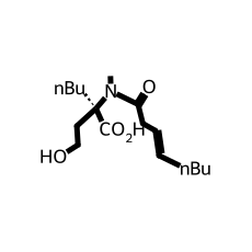 CCCC/C=C/CC(=O)N(C)[C@@](CCO)(CCCC)C(=O)O